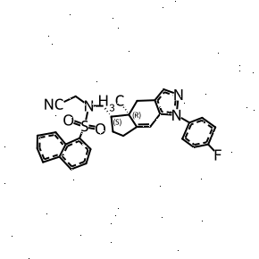 C[C@]12Cc3cnn(-c4ccc(F)cc4)c3C=C1CC[C@@H]2CN(CC#N)S(=O)(=O)c1cccc2ccccc12